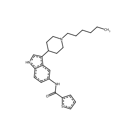 CCCCCCN1CCC(c2c[nH]c3ccc(NC(=O)c4cccs4)cc23)CC1